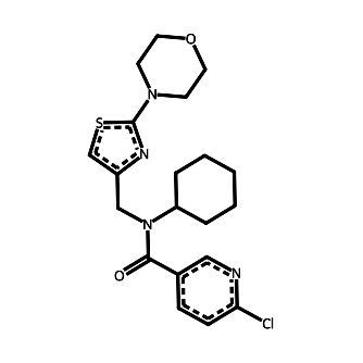 O=C(c1ccc(Cl)nc1)N(Cc1csc(N2CCOCC2)n1)C1CCCCC1